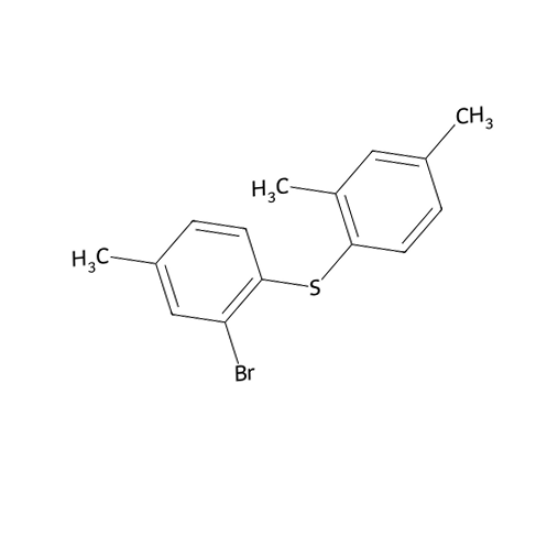 Cc1ccc(Sc2ccc(C)cc2Br)c(C)c1